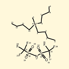 CCCC[N+](C)(CCCC)CCCC.O=S(=O)([N-]S(=O)(=O)C(F)(F)F)C(F)(F)F